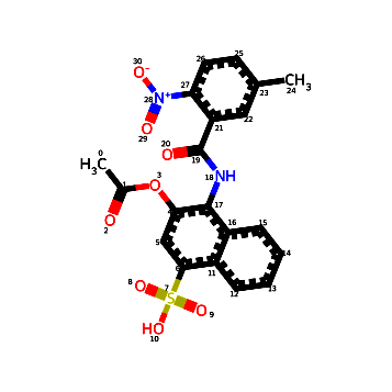 CC(=O)Oc1cc(S(=O)(=O)O)c2ccccc2c1NC(=O)c1cc(C)ccc1[N+](=O)[O-]